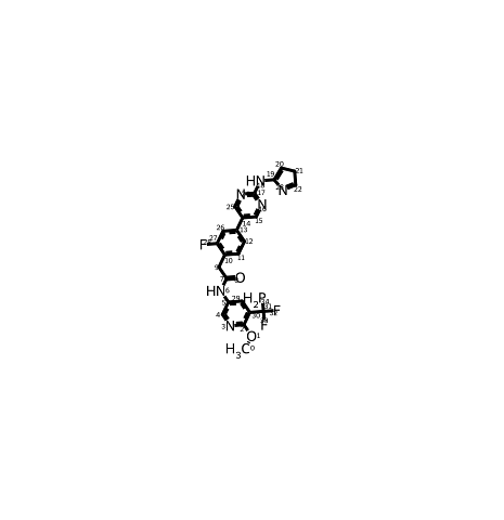 COc1ncc(NC(=O)Cc2ccc(-c3cnc(NC4=CCC=N4)nc3)cc2F)cc1C(F)(F)P